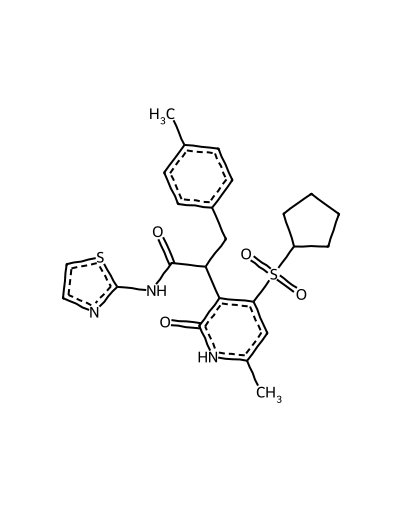 Cc1ccc(CC(C(=O)Nc2nccs2)c2c(S(=O)(=O)C3CCCC3)cc(C)[nH]c2=O)cc1